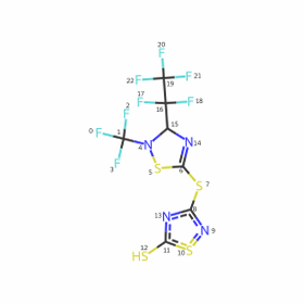 FC(F)(F)N1SC(Sc2nsc(S)n2)=NC1C(F)(F)C(F)(F)F